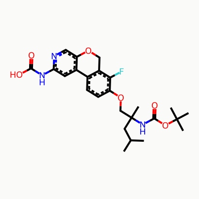 CC(C)CC(C)(COc1ccc2c(c1F)COc1cnc(NC(=O)O)cc1-2)NC(=O)OC(C)(C)C